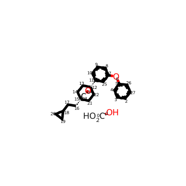 O=C(O)O.c1ccc(Oc2cccc([C@]34CC[C@](CCC5CC5)(CC3)CO4)c2)cc1